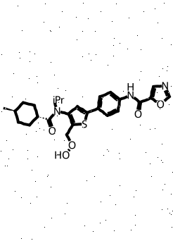 CC(C)N(c1cc(-c2ccc(NC(=O)c3cnco3)cc2)sc1COO)C(=O)[C@H]1CC[C@H](C)CC1